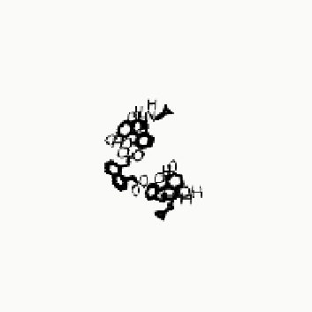 O=C(Cc1cccc2cccc(CC(=O)Oc3ccc4c5c3O[C@H]3C(=O)CC[C@@]6(O)[C@@H](C4)N(CC4CC4)CC[C@]536)c12)Oc1ccc2c3c1O[C@H]1C(=O)CC[C@@]4(O)[C@@H](C2)C(NCC2CC2)CC[C@]314